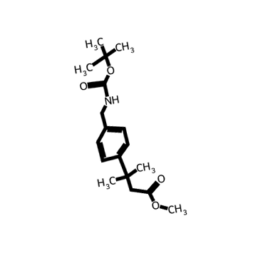 COC(=O)CC(C)(C)c1ccc(CNC(=O)OC(C)(C)C)cc1